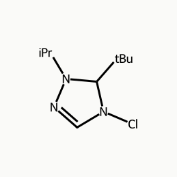 CC(C)N1N=CN(Cl)C1C(C)(C)C